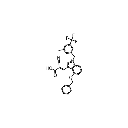 Cc1cc(Cn2cc(/C=C(\C#N)C(=O)O)c3c(OCc4ccccc4)cccc32)cc(C(F)(F)F)c1